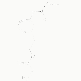 C=CC(=O)OCCc1cccc(OC(=O)C=C)c1